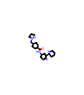 O=C(Nc1ccc(I)c(-c2ccccn2)c1)c1ccc(Cn2cccn2)cc1